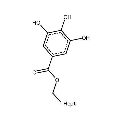 CCCCCCCCOC(=O)c1cc(O)c(O)c(O)c1